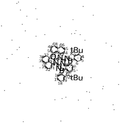 CC(C)(C)Cc1ccccc1B1N=C2N3C(=NB(c4ccccc4CC(C)(C)C)c4cccc1c43)N(c1cccc3ccccc13)C(=O)N2c1cccc2ccccc12